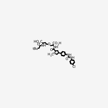 CN1CC(c2ccc(NC(=O)Nc3ccc(Cl)cc3)cc2)CC1C(=O)NC(COCCC(NC(=O)CC(C)(C)C)C(=O)O)C(=O)O